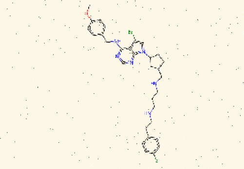 COc1ccc(CNc2ncnc3c2c(Br)cn3C2CCC(CNCCCNCCc3ccc(F)cc3)C2)cc1